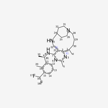 C/C1=c2\nc(C)nc(N[C@H](C)c3cccc(C(F)F)c3C)\c2=C\NC2CCN(CCC1)CC2